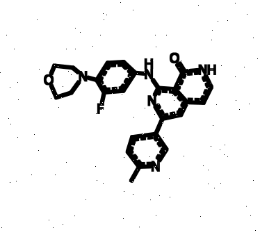 Cc1ccc(-c2cc3cc[nH]c(=O)c3c(Nc3ccc(N4CCOCC4)c(F)c3)n2)cn1